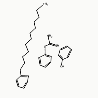 CCCCCCCCCCCCc1ccccc1.N=C(N)Sc1ccccc1.[Cu][c]1ccccc1